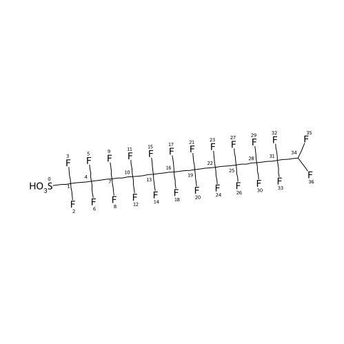 O=S(=O)(O)C(F)(F)C(F)(F)C(F)(F)C(F)(F)C(F)(F)C(F)(F)C(F)(F)C(F)(F)C(F)(F)C(F)(F)C(F)(F)C(F)F